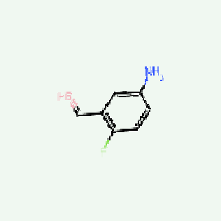 B=Cc1cc(N)ccc1F